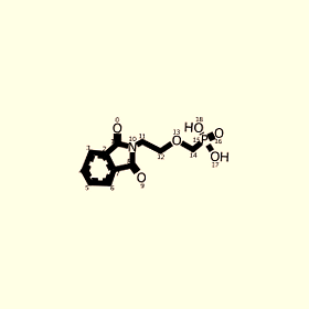 O=C1c2ccccc2C(=O)N1CCOCP(=O)(O)O